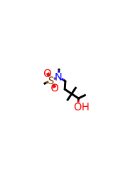 CC(O)C(C)(C)CCN(C)S(C)(=O)=O